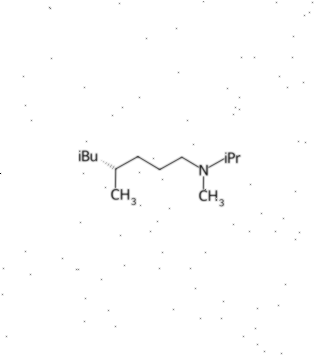 CC[C@@H](C)C(C)CCCN(C)C(C)C